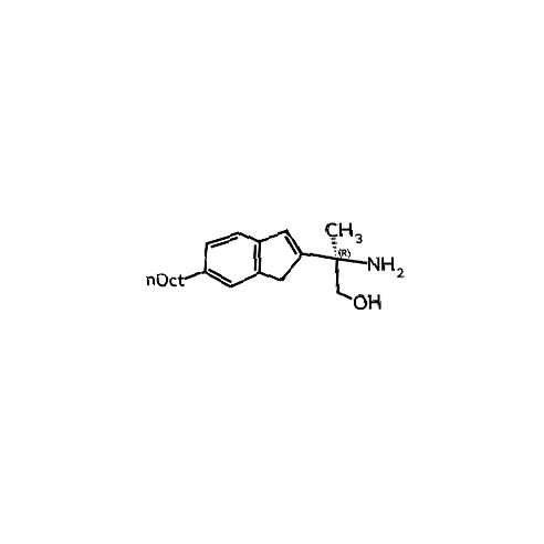 CCCCCCCCc1ccc2c(c1)CC([C@@](C)(N)CO)=C2